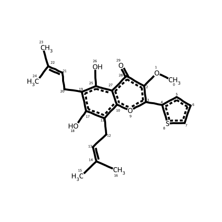 COc1c(-c2cccs2)oc2c(CC=C(C)C)c(O)c(CC=C(C)C)c(O)c2c1=O